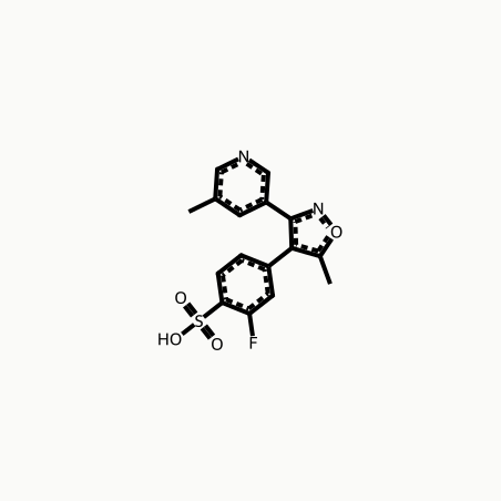 Cc1cncc(-c2noc(C)c2-c2ccc(S(=O)(=O)O)c(F)c2)c1